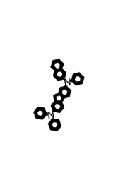 c1ccc(N(c2ccccc2)c2ccc3c(c2)Cc2cc(N(c4ccccc4)c4ccc5ccccc5c4)ccc2-3)cc1